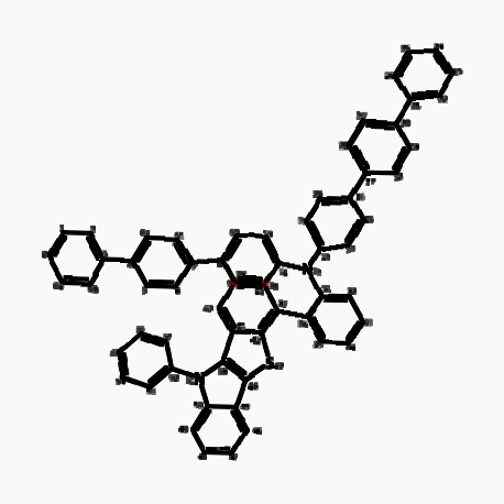 c1ccc(-c2ccc(-c3ccc(N(c4ccc(-c5ccc(-c6ccccc6)cc5)cc4)c4ccccc4-c4cccc5c4sc4c6ccccc6n(-c6ccccc6)c54)cc3)cc2)cc1